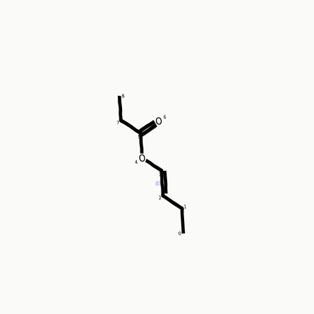 CC/C=C/OC(=O)CC